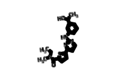 CCN(C)C(=O)c1ccc(-c2ccnc(Nc3cccc(C(C)O)c3)n2)s1